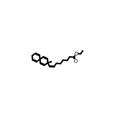 CCOC(=O)CCCCC/C=C\C1(C)C=CC2(C=CCC=C2)C=C1